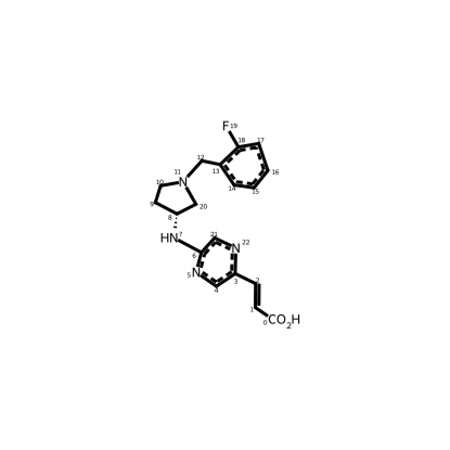 O=C(O)/C=C/c1cnc(N[C@@H]2CCN(Cc3ccccc3F)C2)cn1